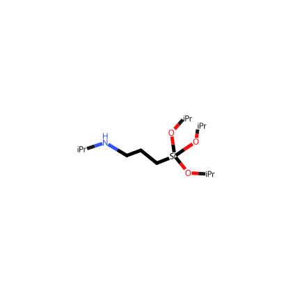 CC(C)NCCC[Si](OC(C)C)(OC(C)C)OC(C)C